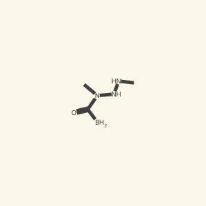 BC(=O)N(C)NNC